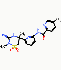 CN1C(=N)N[C@](C)(c2cccc(NC(=O)c3ccc(C(F)(F)F)cn3)n2)CS1(=O)=O